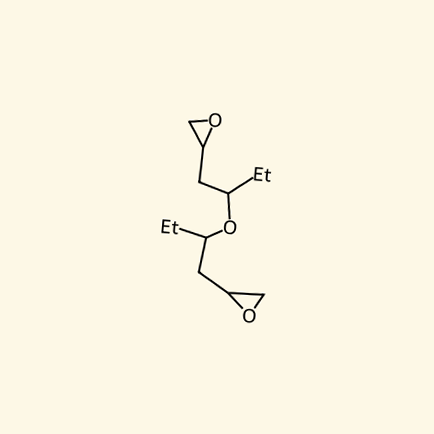 CCC(CC1CO1)OC(CC)CC1CO1